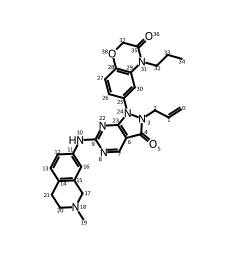 C=CCn1c(=O)c2cnc(Nc3ccc4c(c3)CN(C)CC4)nc2n1-c1ccc2c(c1)N(CCC)C(=O)CO2